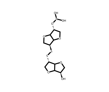 O[C@@H]1COC2C1OC[C@@H]2SS[C@H]1COC2C1OC[C@H]2ON(O)O